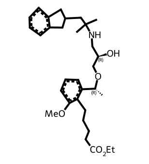 CCOC(=O)CCCCc1c(OC)cccc1[C@@H](C)OC[C@H](O)CNC(C)(C)CC1Cc2ccccc2C1